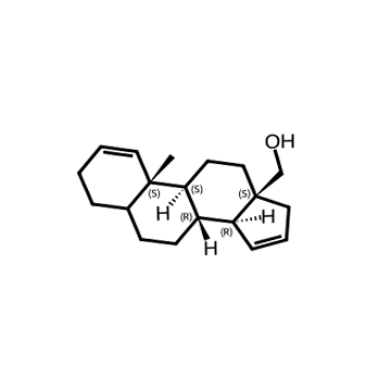 C[C@]12C=CCCC1CC[C@H]1[C@@H]3C=CC[C@@]3(CO)CC[C@@H]12